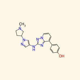 CN1CCC(n2cc(Nc3nc4c(-c5ccc(O)cc5)cccn4n3)cn2)C1